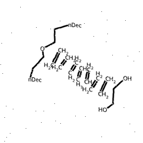 C=C.C=C.C=C.C=C.C=C.C=C.C=C.CCCCCCCCCCCCOCCCCCCCCCCCC.OCCO